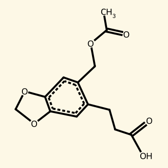 CC(=O)OCc1cc2c(cc1CCC(=O)O)OCO2